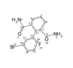 NC(=O)c1cccc(C(N)=O)c1-c1cc(Br)ccc1F